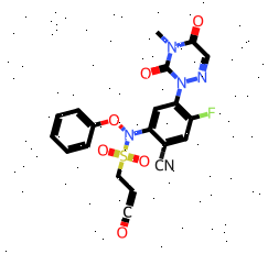 Cn1c(=O)cnn(-c2cc(N(Oc3ccccc3)S(=O)(=O)CC=C=O)c(C#N)cc2F)c1=O